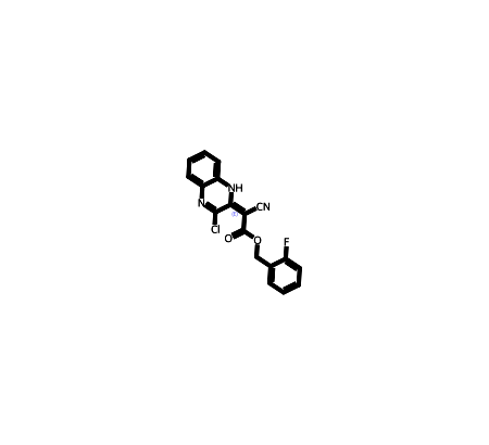 N#C/C(C(=O)OCc1ccccc1F)=C1\Nc2ccccc2N=C1Cl